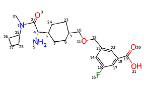 CN(C(=O)[C@@H](N)C1CCC(COCc2cc(F)cc(C(=O)O)c2)CC1)C1CCC1